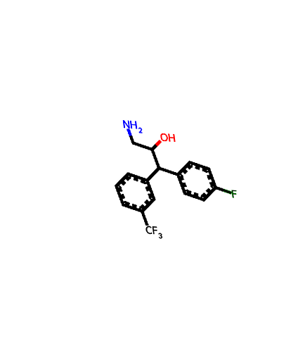 NCC(O)C(c1ccc(F)cc1)c1cccc(C(F)(F)F)c1